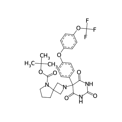 CC(C)(C)OC(=O)N1CCCC12CN(C1(c3ccc(Oc4ccc(OC(F)(F)F)cc4)cc3)C(=O)NC(=O)NC1=O)C2